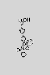 O=C(O)C=Cc1ccc(-c2ccc(OCN3C(=O)c4ccccc4C3=O)c(C34CC5CC(CC(C5)C3)C4)c2)cc1